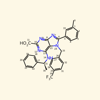 Cc1cccc(-c2nc3nc(C(=O)O)nc(N[C@@H](C)c4ccccc4)c3n2Cc2ccc(C(F)(F)F)cc2)c1